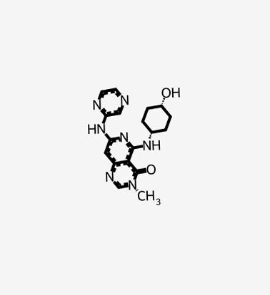 Cn1cnc2cc(Nc3cnccn3)nc(N[C@H]3CC[C@@H](O)CC3)c2c1=O